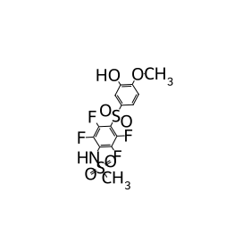 COc1ccc(S(=O)(=O)c2c(F)c(F)c(NS(C)(=O)=O)c(F)c2F)cc1O